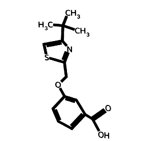 CC(C)(C)c1csc(COc2cccc(C(=O)O)c2)n1